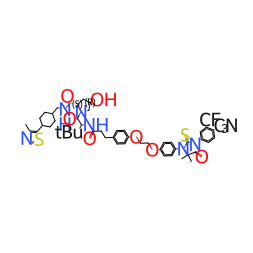 Cc1ncsc1C1CCC(CNC(=O)[C@@H]2C[C@@H](O)CN2C(=O)C(NC(=O)CCc2ccc(OCCOc3ccc(N4C(=S)N(c5ccc(C#N)c(C(F)(F)F)c5)C(=O)C4(C)C)cc3)cc2)C(C)(C)C)CC1